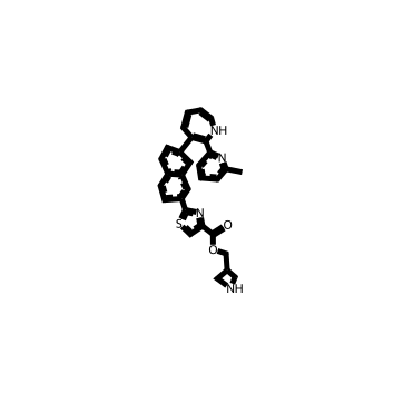 Cc1cccc(C2=C(c3ccc4ccc(-c5nc(C(=O)OCC6CNC6)cs5)cc4c3)C=CC=CN2)n1